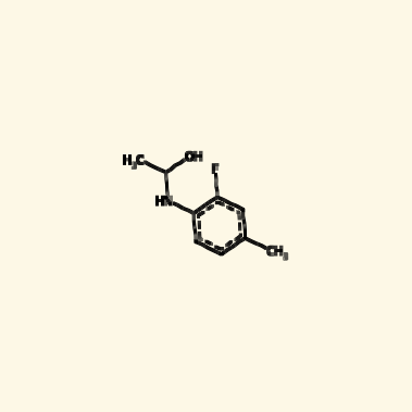 Cc1ccc(NC(C)O)c(F)c1